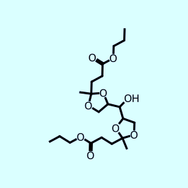 CCCOC(=O)CCC1(C)OCC(C(O)C2COC(C)(CCC(=O)OCCC)O2)O1